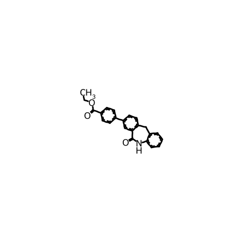 CCOC(=O)c1ccc(-c2ccc3c(c2)C(=O)Nc2ccccc2C3)cc1